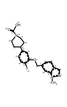 Cn1ncc2ccc(COc3cc(C4CCN(C(=O)O)CC4)ccc3F)cc21